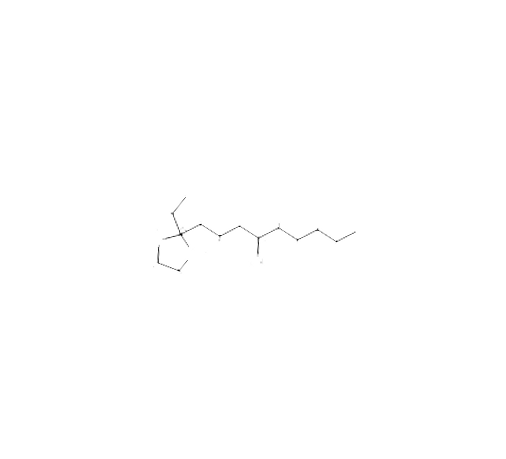 CCCCCC(Br)CCCC1(CC)OCCO1